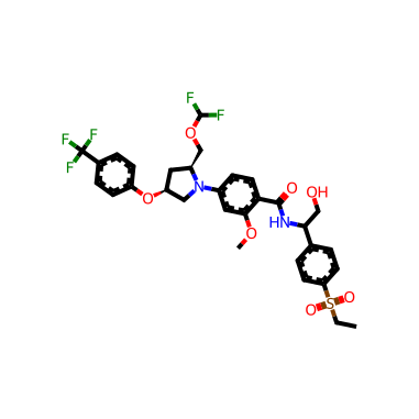 CCS(=O)(=O)c1ccc(C(CO)NC(=O)c2ccc(N3C[C@@H](Oc4ccc(C(F)(F)F)cc4)C[C@H]3COC(F)F)cc2OC)cc1